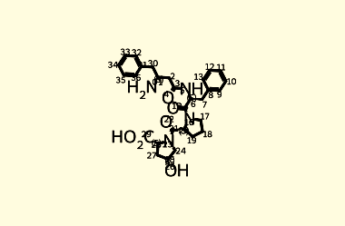 N[C@H](CC(=O)N[C@@H](Cc1ccccc1)C(=O)N1CCC[C@H]1C(=O)N1C[C@H](O)C[C@H]1C(=O)O)Cc1ccccc1